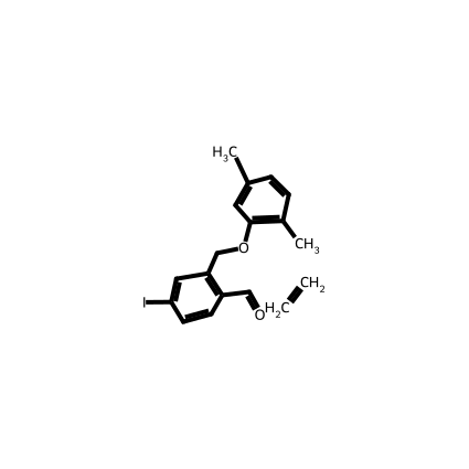 C=C.Cc1ccc(C)c(OCc2cc(I)ccc2C=O)c1